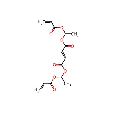 C=CC(=O)OC(C)OC(=O)C=CC(=O)OC(C)OC(=O)C=C